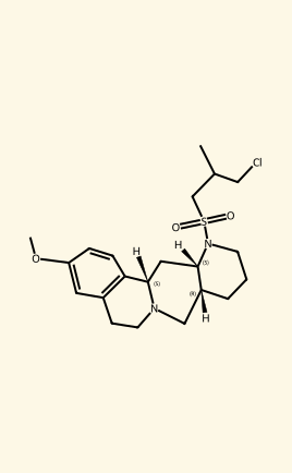 COc1ccc2c(c1)CCN1C[C@H]3CCCN(S(=O)(=O)CC(C)CCl)[C@H]3C[C@@H]21